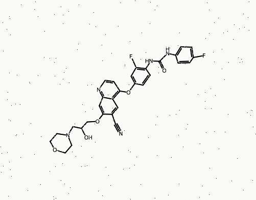 N#Cc1cc2c(Oc3ccc(NC(=O)Nc4ccc(F)cc4)c(F)c3)ccnc2cc1OCC(O)CN1CCOCC1